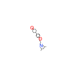 CC1CC(C)CN(CCCOc2ccc(C3CCC(=O)CC3)cc2)C1